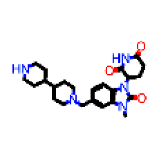 Cn1c(=O)n(C2CCC(=O)NC2=O)c2ccc(CN3CCC(C4CCNCC4)CC3)cc21